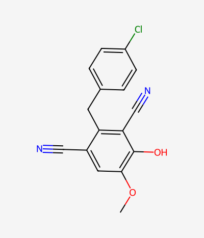 COc1cc(C#N)c(Cc2ccc(Cl)cc2)c(C#N)c1O